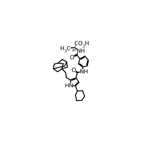 C[C@@H](NC(=O)c1cccc(NC(=O)c2cc(C3CCCCC3)[nH]c2CCC23CC4CC(CC(C4)C2)C3)c1)C(=O)O